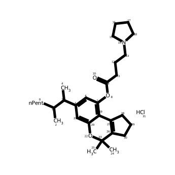 CCCCCC(C)C(C)c1cc(OC(=O)CCCN2CCCC2)c2c(c1)OC(C)(C)C1=C2CCC1.Cl